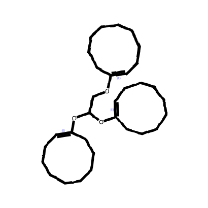 C1=C(/OC[C](O/C2=C/CCCCCCCC2)O/C2=C/CCCCCCCC2)CCCCCCCC/1